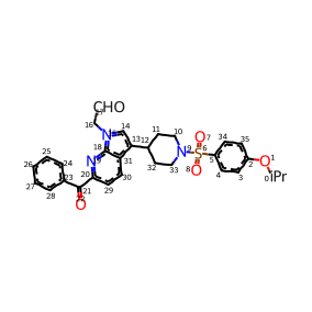 CC(C)Oc1ccc(S(=O)(=O)N2CCC(c3cn(CC=O)c4nc(C(=O)c5ccccc5)ccc34)CC2)cc1